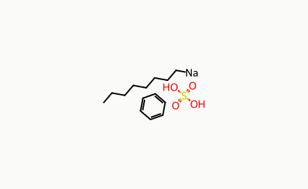 CCCCCCC[CH2][Na].O=S(=O)(O)O.c1ccccc1